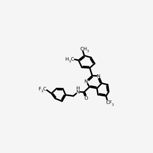 Cc1ccc(-c2nc(C(=O)NCc3ccc(C(F)(F)F)cc3)c3cc(C(F)(F)F)ccc3n2)cc1C